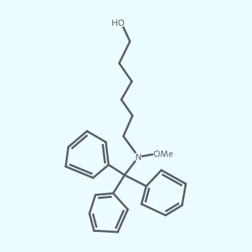 CON(CCCCCCO)C(c1ccccc1)(c1ccccc1)c1ccccc1